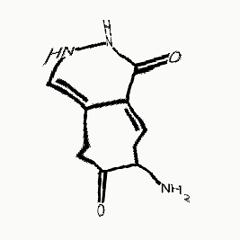 NC1C=C2C(=O)NNC=C2CC1=O